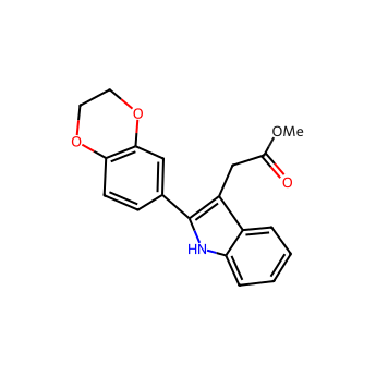 COC(=O)Cc1c(-c2ccc3c(c2)OCCO3)[nH]c2ccccc12